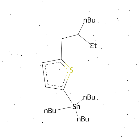 CCCCC(CC)Cc1cc[c]([Sn]([CH2]CCC)([CH2]CCC)[CH2]CCC)s1